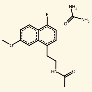 COc1ccc2c(F)ccc(CCNC(C)=O)c2c1.NC(N)=O